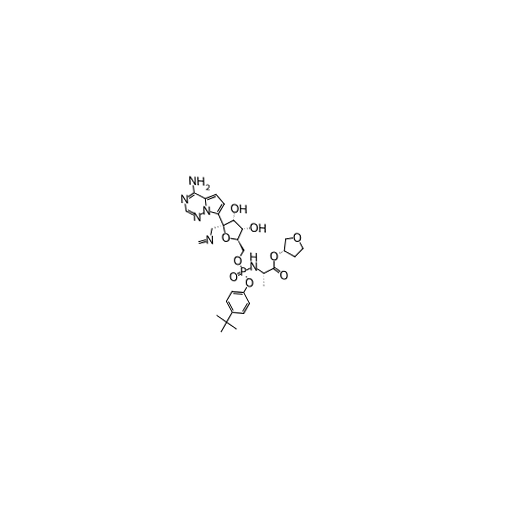 C=NC[C@@]1(c2ccc3c(N)ncnn23)O[C@H](COP(=O)(N[C@@H](C)C(=O)O[C@H]2CCOC2)Oc2ccc(C(C)(C)C)cc2)[C@@H](O)[C@H]1O